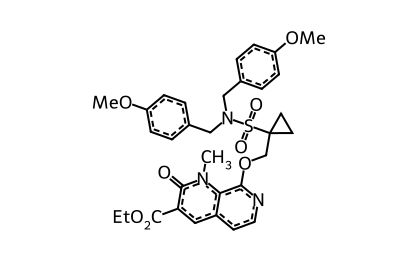 CCOC(=O)c1cc2ccnc(OCC3(S(=O)(=O)N(Cc4ccc(OC)cc4)Cc4ccc(OC)cc4)CC3)c2n(C)c1=O